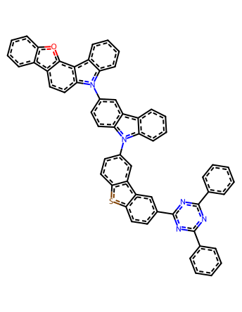 c1ccc(-c2nc(-c3ccccc3)nc(-c3ccc4sc5ccc(-n6c7ccccc7c7cc(-n8c9ccccc9c9c%10oc%11ccccc%11c%10ccc98)ccc76)cc5c4c3)n2)cc1